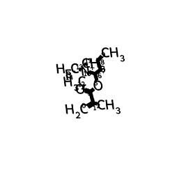 C=C(C)C(=O)OC(CCC)[N+](C)(C)C.[F-]